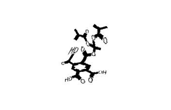 C=C(C)C(=O)OC(C)(OC(=O)C(=C)C)OC(=O)c1cc(C(=O)O)c(C(=O)O)cc1C(=O)O